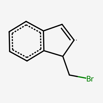 BrCC1[C]=Cc2ccccc21